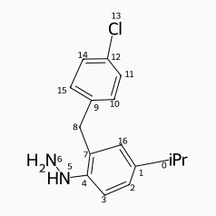 CC(C)c1ccc(NN)c(Cc2ccc(Cl)cc2)c1